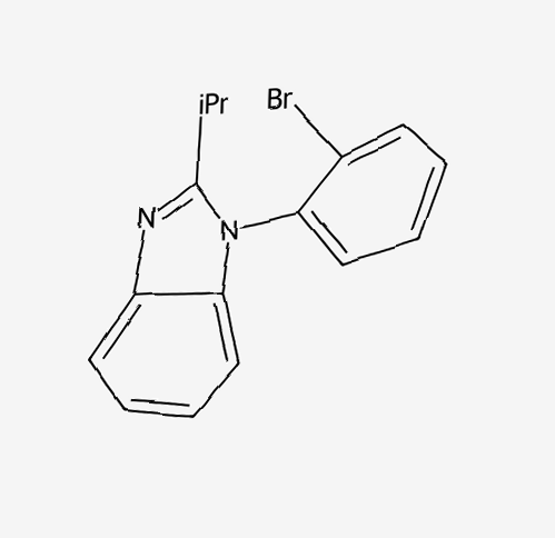 CC(C)c1nc2ccccc2n1-c1ccccc1Br